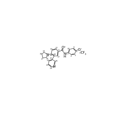 O=C(Nc1ccc(OC(F)(F)F)cc1)c1ccc(N2CCCC2)c(-c2cccnc2)c1